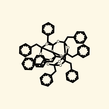 c1ccc(CC23OC4(Cc5ccccc5)OC5(Cc6ccccc6)OC(Cc6ccccc6)(O2)OC2(Cc6ccccc6)OC(Cc6ccccc6)(O3)OC(Cc3ccccc3)(O4)OC(Cc3ccccc3)(O5)O2)cc1